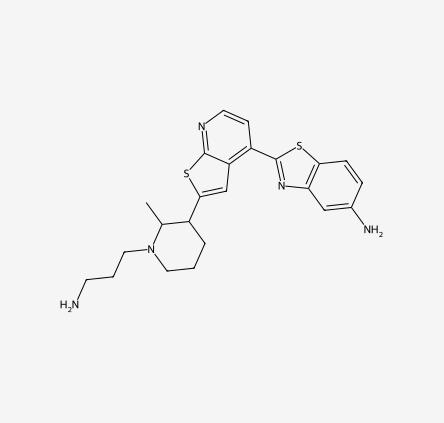 CC1C(c2cc3c(-c4nc5cc(N)ccc5s4)ccnc3s2)CCCN1CCCN